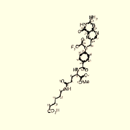 COC(=O)C(CCC(=O)NCCCCCC(=O)O)NC(=O)c1ccc(N(Cc2cnc3nc(N)[nH]c(=O)c3n2)C(=O)C(F)(F)F)cc1